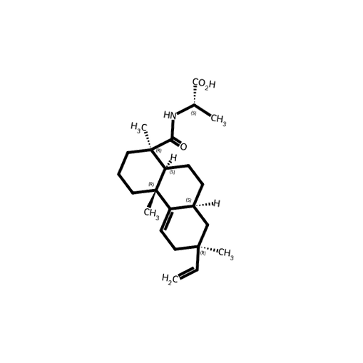 C=C[C@@]1(C)CC=C2[C@@H](CC[C@@H]3[C@](C)(C(=O)N[C@@H](C)C(=O)O)CCC[C@@]23C)C1